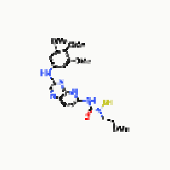 COCCN(S)C(=O)Nc1ccc2ncc(Nc3cc(OC)c(OC)c(OC)c3)nc2n1